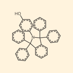 Oc1ccc(N2C(c3ccccc3)(c3ccccc3)c3ccccc3C2(c2ccccc2)c2ccccc2)cc1